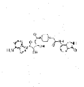 Nc1ncnc2c1ncn2C1OC(C(=O)N2CCN(CC(=O)Nc3cccc4c3CNC4=O)CC2)[C@@H](O)[C@H]1O